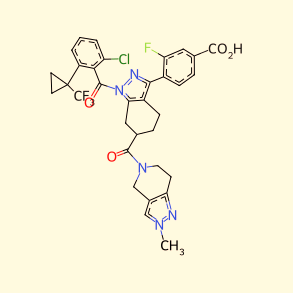 Cn1cc2c(n1)CCN(C(=O)C1CCc3c(-c4ccc(C(=O)O)cc4F)nn(C(=O)c4c(Cl)cccc4C4(C(F)(F)F)CC4)c3C1)C2